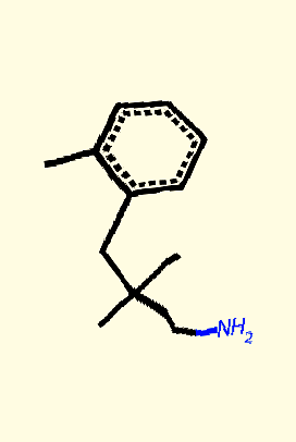 Cc1ccccc1CC(C)(C)CN